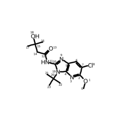 COc1nc2c(cc1Cl)nc(NC(=O)CC(C)(C)O)n2C(C)(C)C